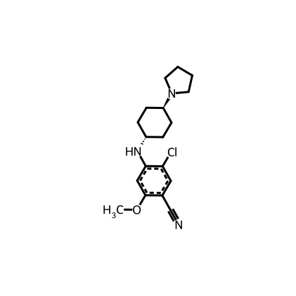 COc1cc(N[C@H]2CC[C@H](N3CCCC3)CC2)c(Cl)cc1C#N